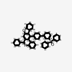 O=P(c1ccccc1)(c1ccccc1)c1cccc(-c2ccc(-c3c4c(cc5c(-c6ccccc6)nc6ccccc6c35)oc3ccccc34)cc2)c1